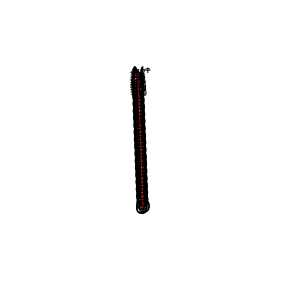 C=CS(=O)(=O)CCOCCOCCOCCOCCOCCOCCOCCOCCOCCOCCOCCOCCOCCOCCOCCOCCOCCOCCOCCOCCOCCOCCOCCOCCOCCOCCOCCOCCOCCOCCOCCOCCOCCOCCOCCOCCN=[N+]=[N-]